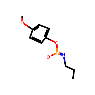 CCC/N=[P+](\[O-])Oc1ccc(OC)cc1